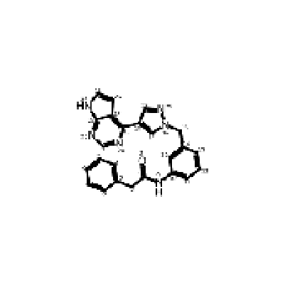 O=C(Cc1ccccc1)Nc1cccc(Cn2cc(-c3ncnc4[nH]ccc34)cn2)c1